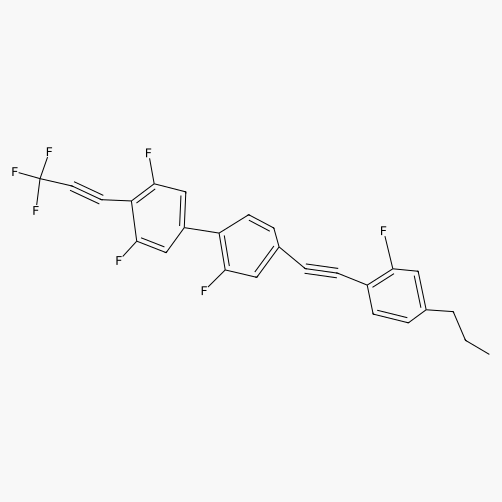 CCCc1ccc(C#Cc2ccc(-c3cc(F)c(C#CC(F)(F)F)c(F)c3)c(F)c2)c(F)c1